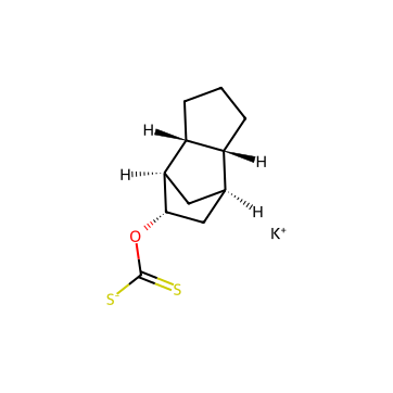 S=C([S-])O[C@H]1C[C@H]2C[C@@H]1[C@@H]1CCC[C@H]21.[K+]